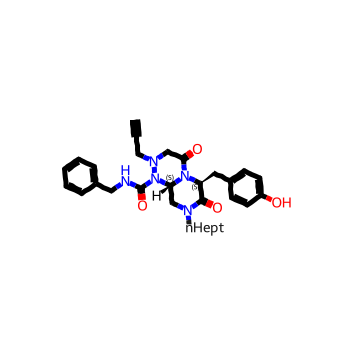 C#CCN1CC(=O)N2[C@@H](Cc3ccc(O)cc3)C(=O)N(CCCCCCC)C[C@@H]2N1C(=O)NCc1ccccc1